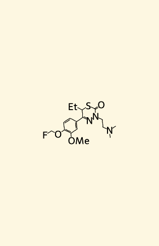 CCC1SC(=O)N(CCN(C)C)N=C1c1ccc(OCF)c(OC)c1